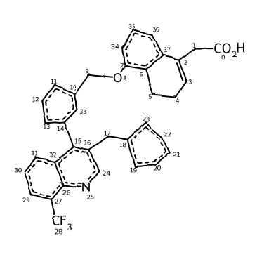 O=C(O)CC1=CCCc2c(OCc3cccc(-c4c(Cc5ccccc5)cnc5c(C(F)(F)F)cccc45)c3)cccc21